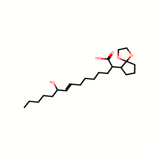 CCCCCC(O)C=CCCCCCC(C(=O)O)C1CCCC12OCCO2